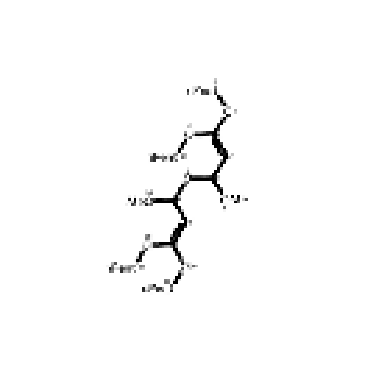 CCCCCOC(=CC(OC)OC(C=C(OCCCCC)OCCCCC)OC)OCCCCC